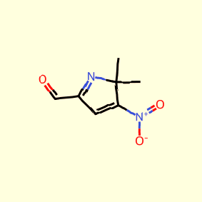 CC1(C)N=C(C=O)C=C1[N+](=O)[O-]